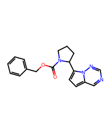 O=C(OCc1ccccc1)N1CCCC1c1ccc2cncnn12